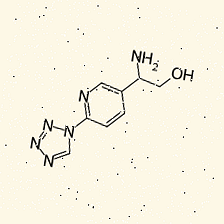 NC(CO)c1ccc(-n2cnnn2)nc1